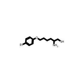 CCc1ccc(OCCCCC(N)CS)cc1